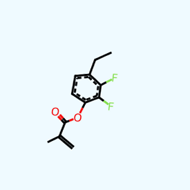 C=C(C)C(=O)Oc1ccc(CC)c(F)c1F